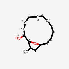 CC1CC2CCCCCCCCCCC(O)C1O2